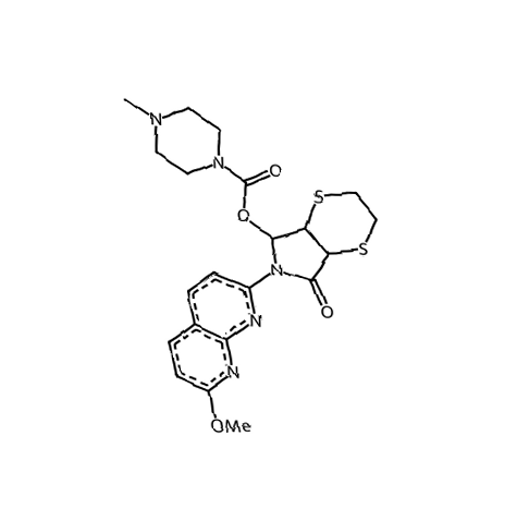 COc1ccc2ccc(N3C(=O)C4SCCSC4C3OC(=O)N3CCN(C)CC3)nc2n1